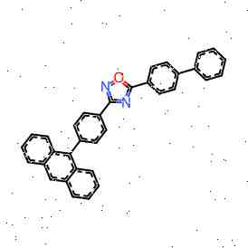 c1ccc(-c2ccc(-c3nc(-c4ccc(-c5c6ccccc6cc6ccccc56)cc4)no3)cc2)cc1